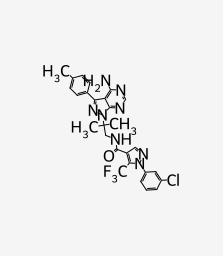 Cc1ccc(-c2nn(C(C)(C)CNC(=O)c3cnn(-c4cccc(Cl)c4)c3C(F)(F)F)c3ncnc(N)c23)cc1